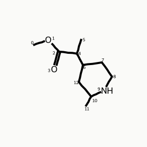 COC(=O)C(C)C1CCNC(C)C1